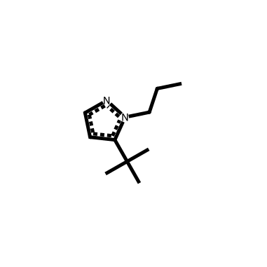 CCCn1nccc1C(C)(C)C